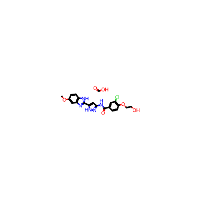 COc1ccc2[nH]c(-c3cc(NC(=O)c4ccc(OCCO)c(Cl)c4)n[nH]3)nc2c1.O=CO